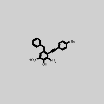 CCCCc1ccc(C#Cc2c(Cc3ccccc3)cc(C(=O)O)c(O)c2N)cc1